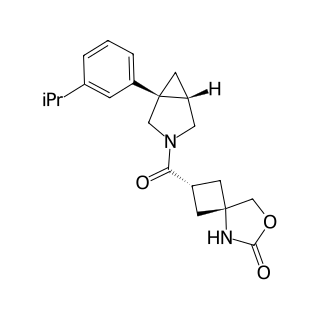 CC(C)c1cccc([C@@]23C[C@@H]2CN(C(=O)[C@H]2C[C@]4(COC(=O)N4)C2)C3)c1